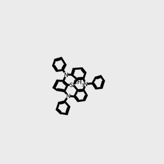 C[Si]12c3c4cccc3N(c3ccccc3)c3cccc(c31)N(c1ccccc1)c1cccc(c12)N4c1ccccc1